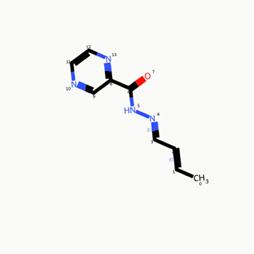 C/C=C/C=N/NC(=O)c1cnccn1